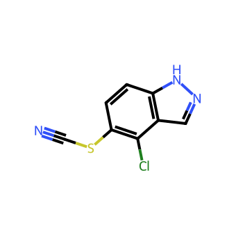 N#CSc1ccc2[nH]ncc2c1Cl